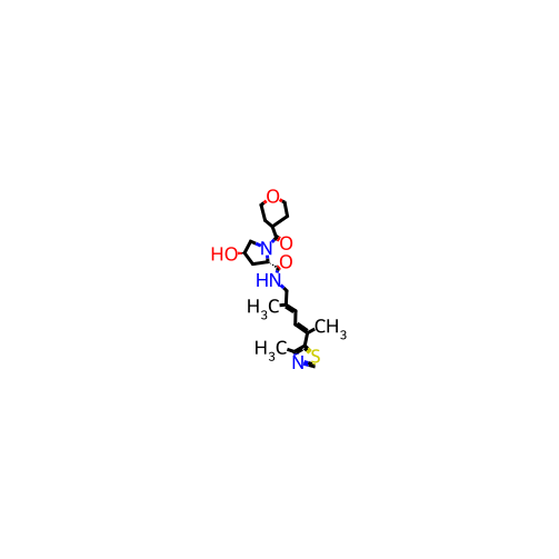 C/C(=C\C=C(/C)c1scnc1C)CNC(=O)[C@@H]1C[C@@H](O)CN1C(=O)C1CCOCC1